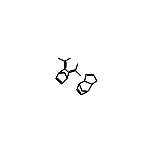 C1=CC2C3C=CC(C3)C2C1.CC(C)=C1C(=C(C)C)C2C=CC1C2